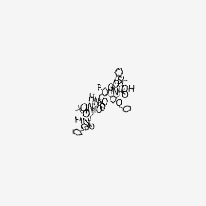 COC(=O)[C@H](Cc1cc(-c2ccc(OCc3ccccc3)c(C[C@@](CC[Si](C)(C)C)(NC(=O)OCc3ccccc3)C(=O)O)c2)ccc1F)N(C)C(=O)[C@@H](CCCNC(=O)OCc1ccccc1)NC(=O)OC(C)(C)C